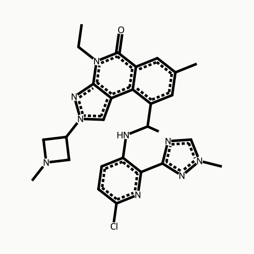 CCn1c(=O)c2cc(C)cc(C(C)Nc3ccc(Cl)nc3-c3ncn(C)n3)c2c2cn(C3CN(C)C3)nc21